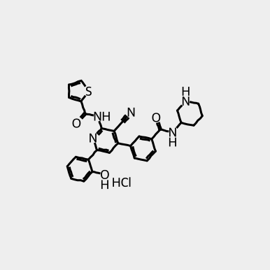 Cl.N#Cc1c(-c2cccc(C(=O)NC3CCCNC3)c2)cc(-c2ccccc2O)nc1NC(=O)c1cccs1